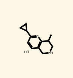 CC1CNCc2ccc(C3CC3)nc21.Cl